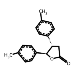 Cc1ccc([C@@H]2CC(=O)O[C@H]2c2ccc(C)cc2)cc1